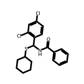 O=C(NC(SC1CCCCC1)c1ccc(Cl)cc1Cl)c1ccccc1